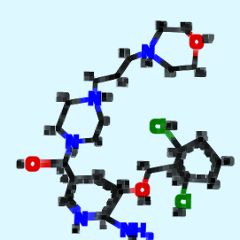 Nc1ncc(C(=O)N2CCN(CCCN3CCOCC3)CC2)cc1OCc1c(Cl)cccc1Cl